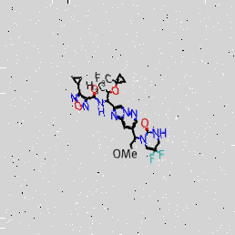 COCC(c1cnn2cc(C(NC(=O)c3nonc3C3CC3)C(C)OC3(C(F)(F)F)CC3)nc2c1)N1CC(F)(F)CNC1=O